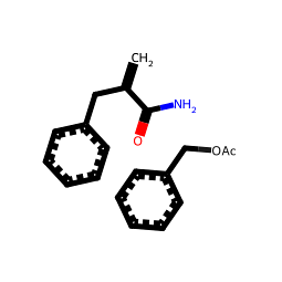 C=C(Cc1ccccc1)C(N)=O.CC(=O)OCc1ccccc1